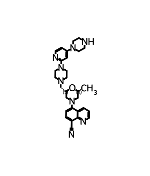 C[C@@H]1CN(c2ccc(C#N)c3ncccc23)C[C@H](CN2CCN(c3cc(N4CCNCC4)ccn3)CC2)O1